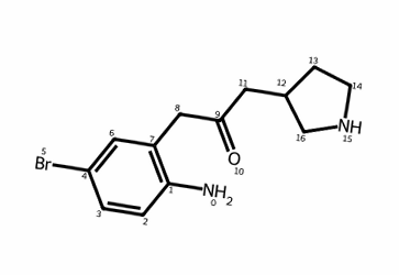 Nc1ccc(Br)cc1CC(=O)CC1CCNC1